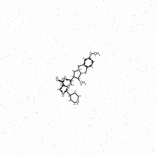 COc1ccc(F)c(CN2CC(C)C(c3nn4c(C5CCOCC5)ncc4c(=O)[nH]3)C2)c1